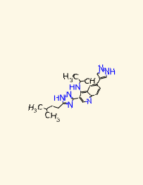 CC(C)CCc1nc(-c2cnc3ccc(-c4cn[nH]c4)cc3c2NC(C)C)n[nH]1